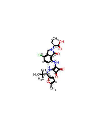 CC[C@@H](C(=O)O)N1Cc2c(Cl)ccc(Nc3c(N[C@@H](c4ccc(C)o4)C(C)(C)C)c(=O)c3=O)c2C1=O